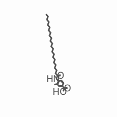 CCCCCCCCCCCCCCCCCCCCCCCC(=O)Nc1ccc(C(=O)O)cc1C